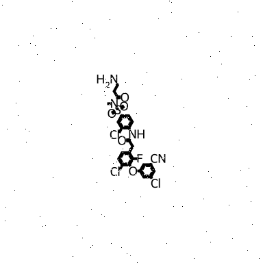 CN(C(=O)CCN)S(=O)(=O)c1ccc(NC(=O)Cc2ccc(Cl)c(Oc3cc(Cl)cc(C#N)c3)c2F)c(Cl)c1